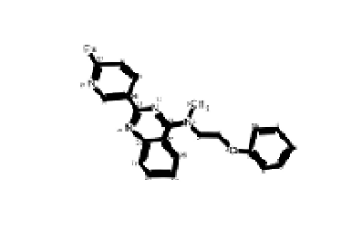 CN(CCOc1ccccc1)c1nc(-c2ccc(F)nc2)nc2ccccc12